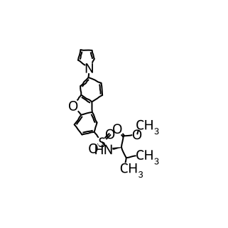 COC(=O)[C@H](NS(=O)(=O)c1ccc2oc3cc(-n4cccc4)ccc3c2c1)C(C)C